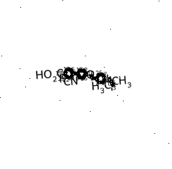 CC(C)(F)CN1CCC(COc2ccc(C3=CC=C(C(=O)O)C(F)(C#N)C3)cc2)CC1